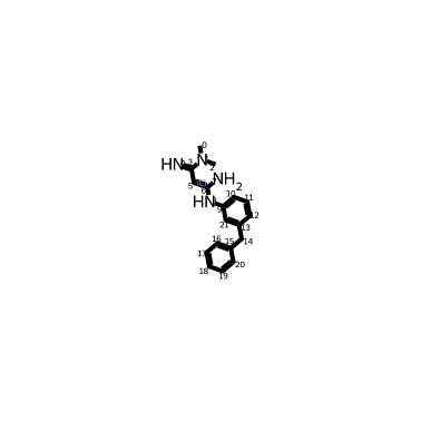 CN(C)C(=N)/C=C(\N)Nc1cccc(Cc2ccccc2)c1